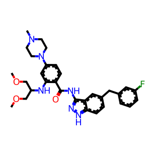 COCC(COC)Nc1cc(N2CCN(C)CC2)ccc1C(=O)Nc1n[nH]c2ccc(Cc3cccc(F)c3)cc12